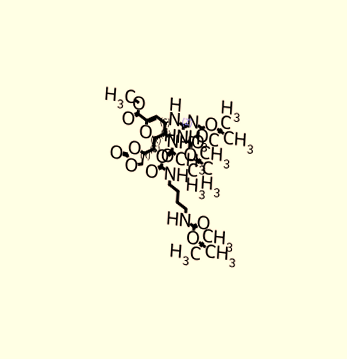 COC(=O)C1=C[C@H](N/C(=N/C(=O)OC(C)(C)C)NC(=O)OC(C)(C)C)[C@@H](NC(C)=O)[C@H]([C@H](OC(=O)NCCCCNC(=O)OC(C)(C)C)[C@H]2COC(=O)O2)O1